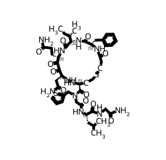 CC[C@H](C)[C@@H]1NC(=O)[C@H](Cc2ccccc2)NC(=O)CCSCC[C@@H](C(=O)N(CC(=O)N[C@@H](CC(C)C)C(=O)NCC(N)=O)Cc2cccs2)NN[C@@H](CC(N)=O)C(=O)C(=O)[C@H](CCC(N)=O)NC1=O